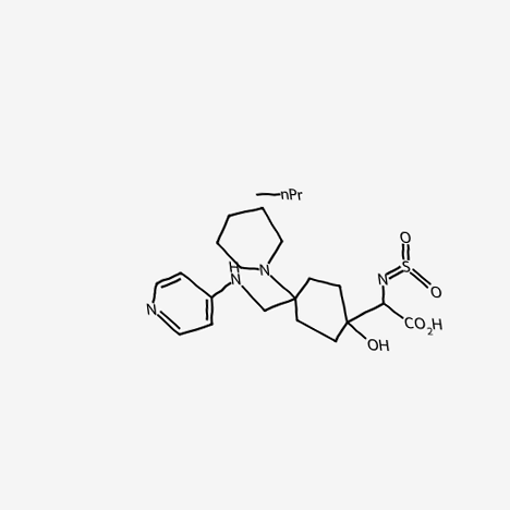 CCCC.O=C(O)C(N=S(=O)=O)C1(O)CCC(CNc2ccncc2)(N2CCCCC2)CC1